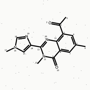 CC(=O)c1cc(C)cc2c(=O)n(C)c(-c3cn(C)cn3)nc12